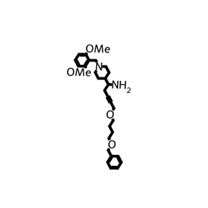 COc1cccc(OC)c1CN1CCC(C(N)CC#CCOCCCCOCc2ccccc2)CC1